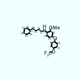 COc1cc(Oc2ccc(OC(F)(F)F)cc2)ccc1NCCCCc1ccccc1